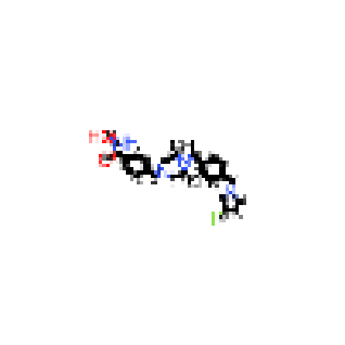 C[C@@H]1CN(Cc2ccc(C(=O)NO)cc2)C[C@H](C)N1Cc1ccc(CN2CC[C@@H](F)C2)cc1